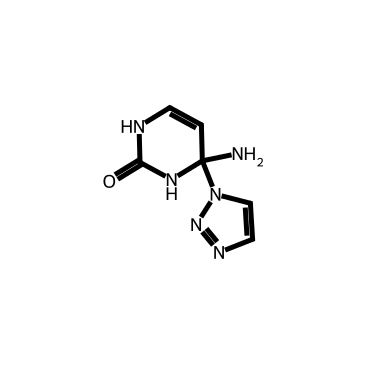 NC1(n2ccnn2)C=CNC(=O)N1